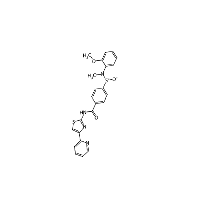 COc1ccccc1N(C)[S+]([O-])c1ccc(C(=O)Nc2nc(-c3ccccn3)cs2)cc1